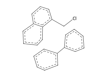 ClCc1cccc2ccccc12.c1ccc(-c2ccccc2)cc1